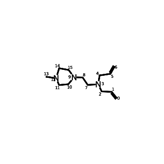 C=CCN(CC=C)CCN1CCN(C)CC1